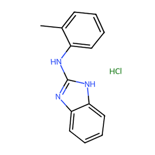 Cc1ccccc1Nc1nc2ccccc2[nH]1.Cl